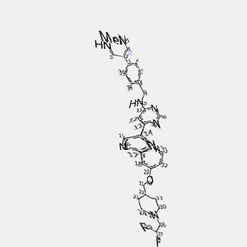 CN/C=C(\C=N)c1ccc(CNc2cc(-c3cnc4cc(OCC5CCN(CC(F)F)CC5)ccn34)ncn2)cc1